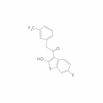 O=C(Cc1cccc(C(F)(F)F)c1)c1c(O)sc2cc(F)ccc12